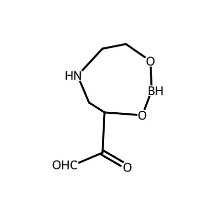 O=CC(=O)C1CNCCOBO1